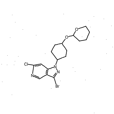 Clc1cc2c(cn1)c(Br)nn2C1CCC(OC2CCCCO2)CC1